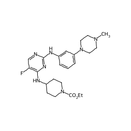 CCOC(=O)N1CCC(Nc2nc(Nc3cccc(N4CCN(C)CC4)c3)ncc2F)CC1